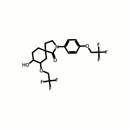 O=C1N(c2ccc(OCC(F)(F)F)cc2)CCC12CCC(O)C(OCC(F)(F)F)C2